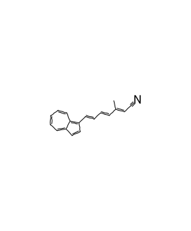 CC(/C=C/C=C/c1ccc2cccccc1-2)=C\C#N